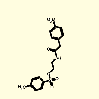 Cc1ccc(S(=O)(=O)OCCNC(=O)Cc2ccc([N+](=O)[O-])cc2)cc1